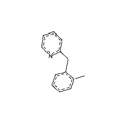 Cc1ccccc1Cc1ccccn1